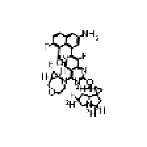 [2H]C1([2H])CC2(CC2)[C@]2(C([2H])([2H])Oc3nc(N4CCOC[C@H]5[C@H](F)[C@H]54)c4cnc(-c5cc(N)cc6ccc(F)c(C#C)c56)c(F)c4n3)C[C@]([2H])(F)CN12